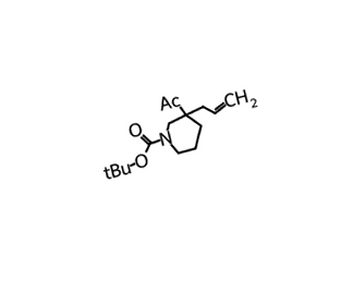 C=CCC1(C(C)=O)CCCN(C(=O)OC(C)(C)C)C1